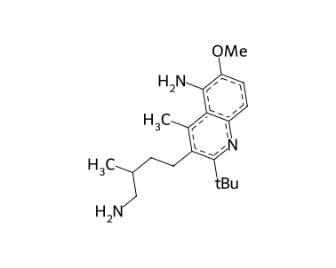 COc1ccc2nc(C(C)(C)C)c(CCC(C)CN)c(C)c2c1N